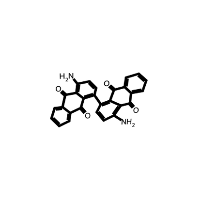 Nc1ccc(-c2ccc(N)c3c2C(=O)c2ccccc2C3=O)c2c1C(=O)c1ccccc1C2=O